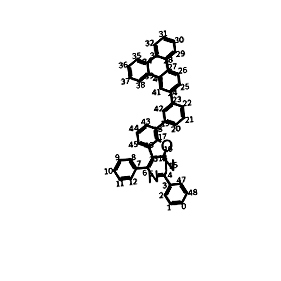 c1ccc(-c2nc(-c3ccccc3)c3c(n2)oc2c(-c4cccc(-c5ccc6c7ccccc7c7ccccc7c6c5)c4)cccc23)cc1